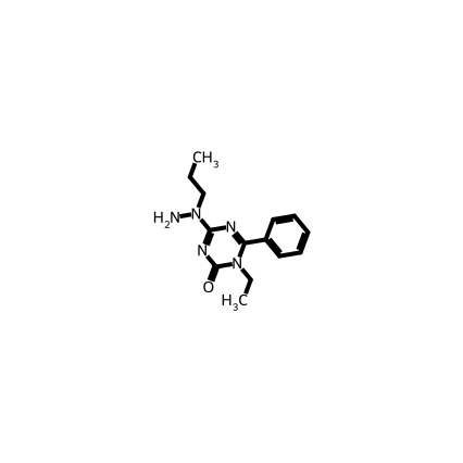 CCCN(N)c1nc(-c2ccccc2)n(CC)c(=O)n1